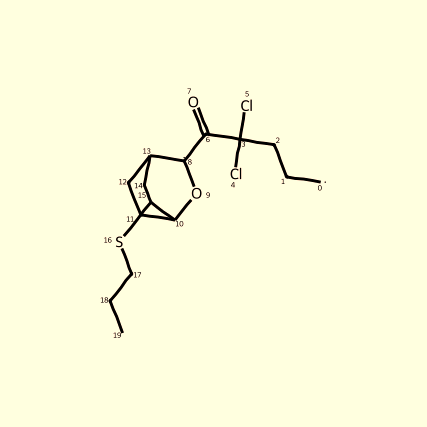 [CH2]CCC(Cl)(Cl)C(=O)[C]1OC2CCC1CC2SCCC